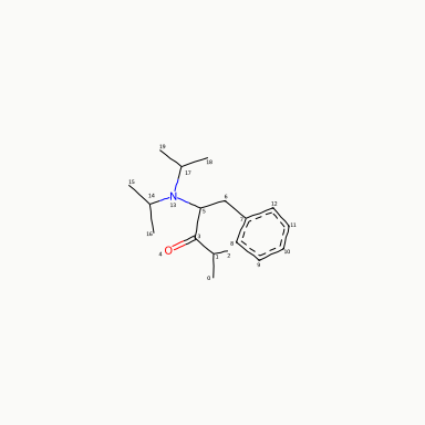 CC(C)C(=O)C(Cc1ccccc1)N(C(C)C)C(C)C